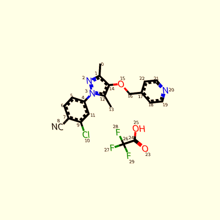 Cc1nn(-c2ccc(C#N)c(Cl)c2)c(C)c1OCc1ccncc1.O=C(O)C(F)(F)F